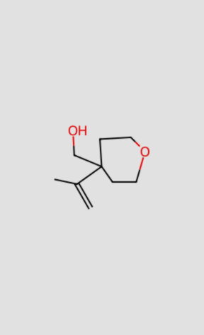 C=C(C)C1(CO)CCOCC1